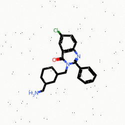 NCC1CCCC(Cn2c(-c3ccccc3)nc3ccc(Cl)cc3c2=O)C1